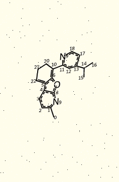 Cc1ccc2c3c(oc2n1)=C(c1cc(C(C)C)ccn1)CCC=3